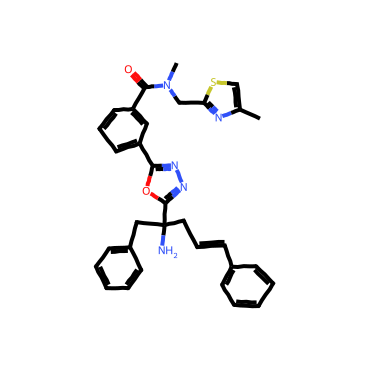 Cc1csc(CN(C)C(=O)c2cccc(-c3nnc(C(N)(CC=Cc4ccccc4)Cc4ccccc4)o3)c2)n1